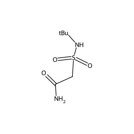 CC(C)(C)NS(=O)(=O)CC(N)=O